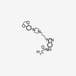 CC(=O)Nc1ccc2ncn(CCCCN3CCN(c4ccc5c(c4)OCCO5)CC3)c2c1